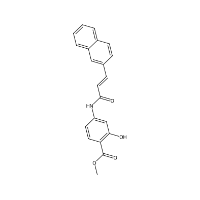 COC(=O)c1ccc(NC(=O)C=Cc2ccc3ccccc3c2)cc1O